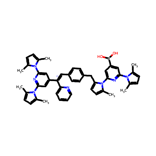 Cc1ccc(C)n1-c1cc(/C(=C/c2ccc(Cc3ccc(C)n3-c3cc(B(O)O)cc(-n4c(C)ccc4C)n3)cc2)c2ccccn2)cc(-n2c(C)ccc2C)n1